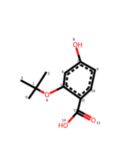 CC(C)(C)Oc1cc(O)ccc1C(=O)O